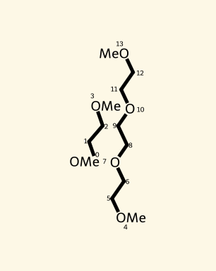 COCCOC.COCCOCCOCCOC